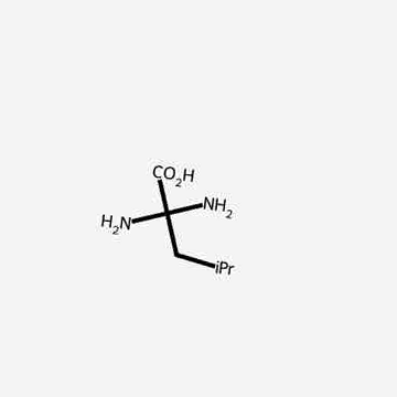 CC(C)CC(N)(N)C(=O)O